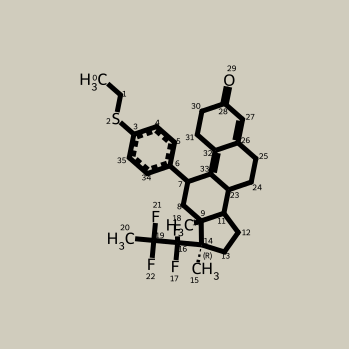 CCSc1ccc(C2CC3(C)C(CC[C@@]3(C)C(F)(F)C(C)(F)F)C3CCC4=CC(=O)CCC4=C23)cc1